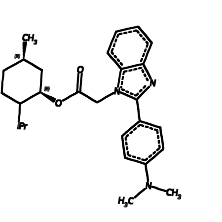 CC(C)C1CC[C@@H](C)C[C@H]1OC(=O)Cn1c(-c2ccc(N(C)C)cc2)nc2ccccc21